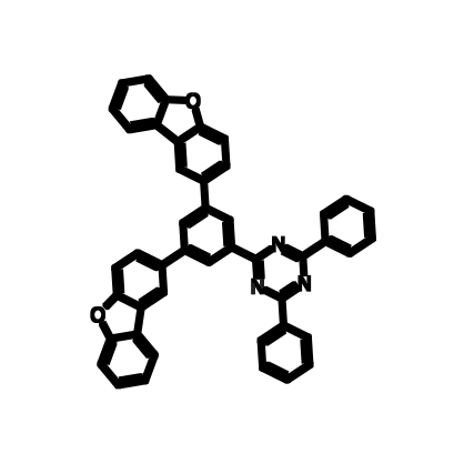 c1ccc(-c2nc(-c3ccccc3)nc(-c3cc(-c4ccc5oc6ccccc6c5c4)cc(-c4ccc5oc6ccccc6c5c4)c3)n2)cc1